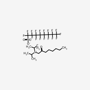 CCCCCCC(=O)C[S+](C(C)C)C(C)C.O=S(=O)([O-])C(F)(F)C(F)(F)C(F)(F)C(F)(F)C(F)(F)C(F)(F)C(F)(F)C(F)(F)F